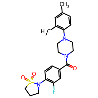 Cc1ccc(N2CCN(C(=O)c3ccc(N4CCCS4(=O)=O)c(F)c3)CC2)c(C)c1